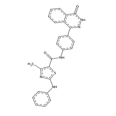 Cc1nc(Nc2ccccc2)sc1C(=O)Nc1ccc(-c2n[nH]c(=O)c3ccccc23)cc1